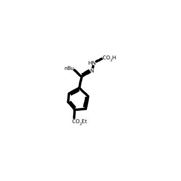 CCCC/C(=N\NC(=O)O)c1ccc(C(=O)OCC)cc1